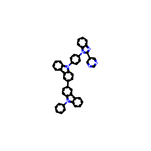 c1ccc(-n2c3ccccc3c3cc(-c4ccc5c(c4)c4ccccc4n5-c4ccc(-n5c(-c6cncnc6)nc6ccccc65)cc4)ccc32)cc1